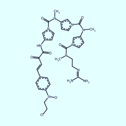 CN(CCN=C(N)N)C(=O)n1ccc(N(C)C(=O)n2ccc(N(C)C(=O)n3ccc(NC(=O)C(=O)/C=C/c4ccc([S+]([O-])CCCl)cc4)c3)c2)c1